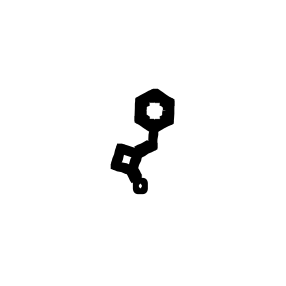 O=C1CCC1=Cc1ccccc1